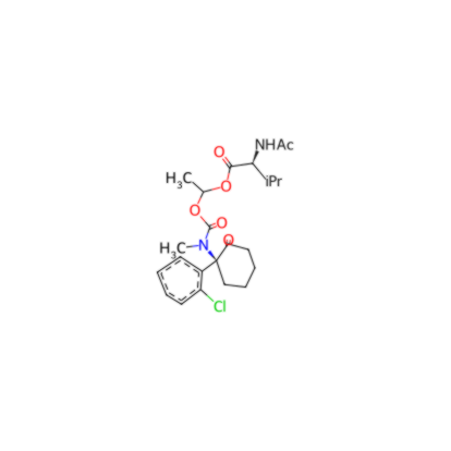 CC(=O)N[C@H](C(=O)OC(C)OC(=O)N(C)[C@]1(c2ccccc2Cl)CCCCC1=O)C(C)C